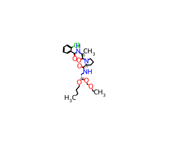 CCCCO[C@H](CNC(=O)[C@@H]1CCCN1C(=O)[C@H](C)NC(=O)c1ccccc1Cl)OCOCC